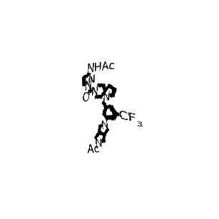 CC(=O)Nc1ccn(C(=O)N2CCC3(CCCN3Cc3cc(N4CC5CN(C(C)=O)CC5C4)cc(C(F)(F)F)c3)CC2)n1